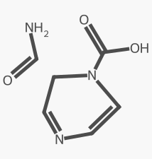 NC=O.O=C(O)N1C=CN=CC1